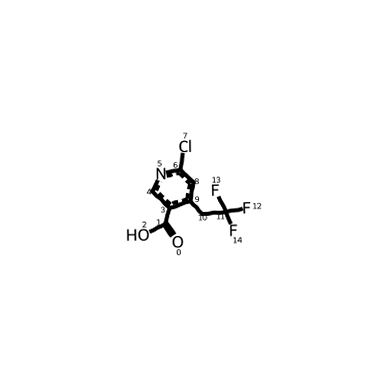 O=C(O)c1cnc(Cl)cc1CC(F)(F)F